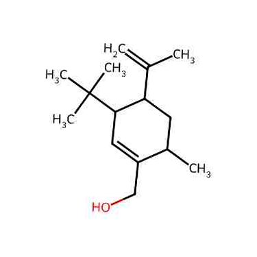 C=C(C)C1CC(C)C(CO)=CC1C(C)(C)C